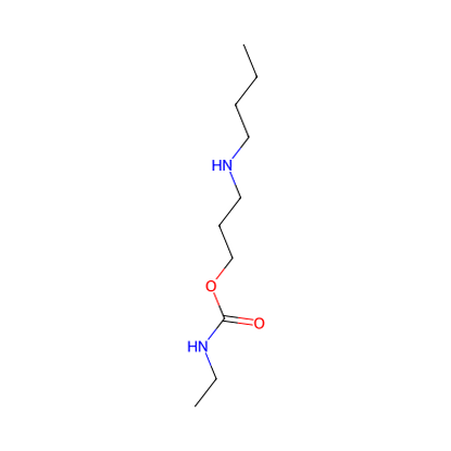 CCCCNCCCOC(=O)NCC